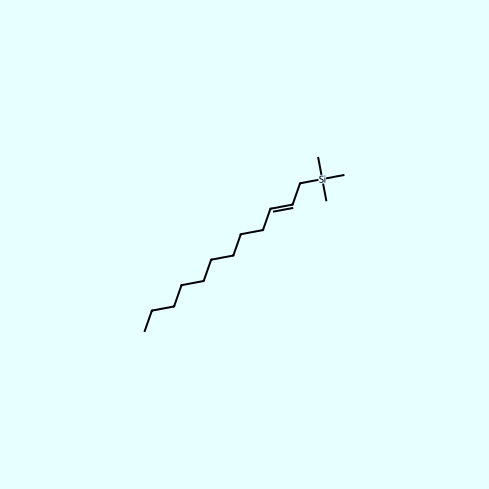 CCCCCCCCCC=CC[Si](C)(C)C